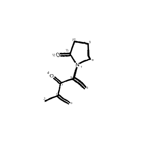 C=C(C)C(=O)C(=C)N1CCCC1=O